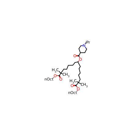 CCCCCCCCOC(=O)C(C)(C)CCCCCC(CCCCCC(C)(C)C(=O)OCCCCCCCC)OC(=O)C1CCN(C(C)C)CC1